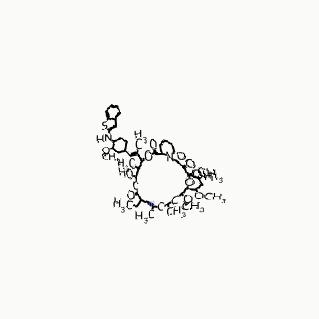 CCC1/C=C(\C)CC(C)CC(OC)C2OC(O)(C(=O)C(=O)N3CCCCC3C(=O)OC(C(C)=CC3CCC(Nc4cc5ccccc5s4)C(OC)C3)C(C)C(O)CC1=O)C(C)CC2OC